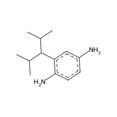 CC(C)C(c1cc(N)ccc1N)C(C)C